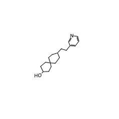 OC1CCC2(CC1)CCC(CCc1cccnc1)CC2